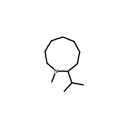 CC(C)C1CCCCCCCN1C